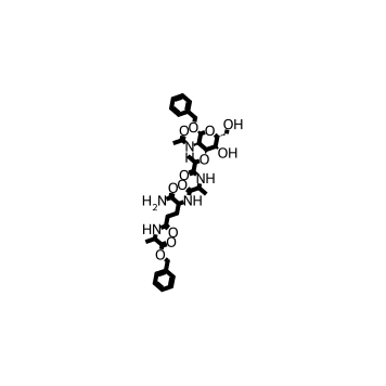 CC(=O)N[C@H]1[C@@H](OCc2ccccc2)O[C@H](CO)[C@@H](O)[C@@H]1OC(C)C(=O)NC(C)C(=O)NC(CCC(=O)NC(C)C(=O)OCc1ccccc1)C(N)=O